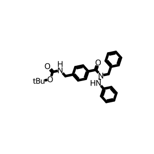 CC(C)(C)OC(=O)NCc1ccc(C(=O)N(Cc2ccccc2)Nc2ccccc2)cc1